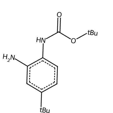 CC(C)(C)OC(=O)Nc1ccc(C(C)(C)C)cc1N